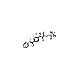 CS(=O)(=O)NCCNC(=O)C(N)c1ccc(C(=O)Nc2ccncc2)cc1